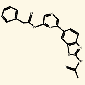 CC(=O)Nc1nc2ccc(-c3cncc(NC(=O)Cc4ccccc4)n3)cc2s1